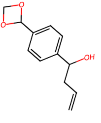 C=CCC(O)c1ccc(C2OCO2)cc1